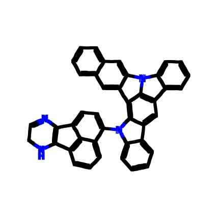 C1=NC2=C(NC1)c1cccc3c(-n4c5ccccc5c5cc6c7ccccc7n7c8cc9ccccc9cc8c(c54)c67)ccc2c13